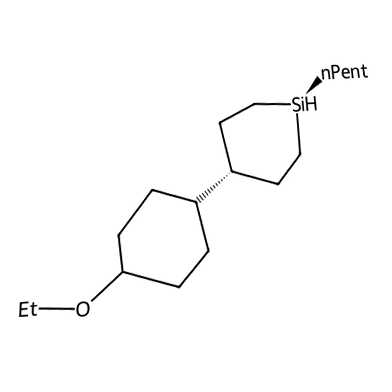 CCCCC[Si@H]1CC[C@H](C2CCC(OCC)CC2)CC1